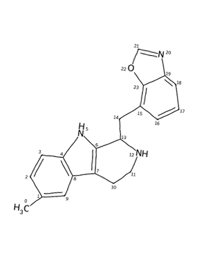 Cc1ccc2[nH]c3c(c2c1)CCNC3Cc1cccc2ncoc12